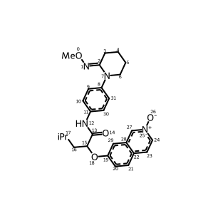 CON=C1CCCCN1c1ccc(NC(=O)C(CC(C)C)Oc2ccc3cc[n+]([O-])cc3c2)cc1